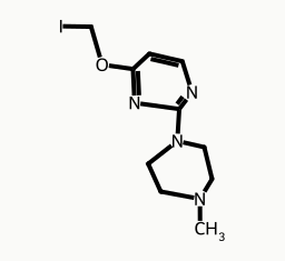 CN1CCN(c2nccc(OCI)n2)CC1